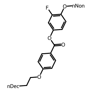 CCCCCCCCCCCCOc1ccc(C(=O)Oc2ccc(OCCCCCCCCC)c(F)c2)cc1